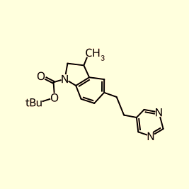 CC1CN(C(=O)OC(C)(C)C)c2ccc(CCc3cncnc3)cc21